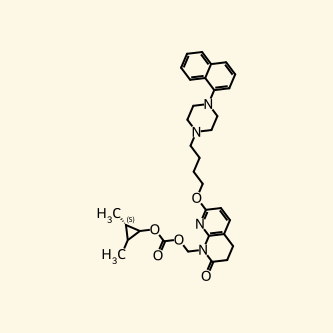 CC1C(OC(=O)OCN2C(=O)CCc3ccc(OCCCCN4CCN(c5cccc6ccccc56)CC4)nc32)[C@H]1C